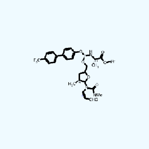 CNC(=O)N(/C=C\C=O)C1OC(COP(N[C@@H](C)C(=O)OC(C)C)Oc2ccc(-c3ccc(C(F)(F)F)cc3)cc2)C[C@@H]1C